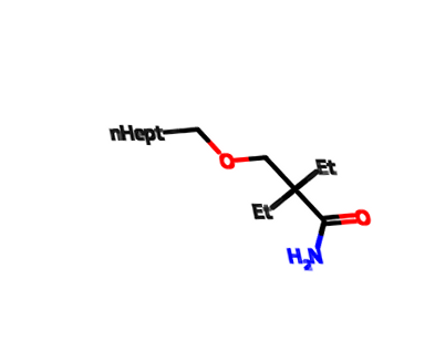 CCCCCCCCOCC(CC)(CC)C(N)=O